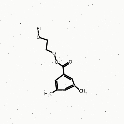 CCOC[CH]OOC(=O)c1cc(C)cc(C)c1